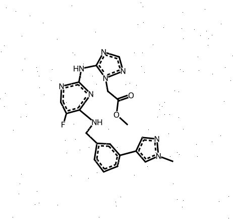 COC(=O)Cn1ncnc1Nc1ncc(F)c(NCc2cccc(-c3cnn(C)c3)c2)n1